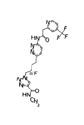 CNC(=O)c1cn(C[C@@H](F)CCc2ccc(NC(=O)Cc3cc(C(F)(F)F)ccn3)nn2)nn1